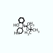 CC(C)(C)OC(=O)N(c1ccccc1O)C1CCNCC1